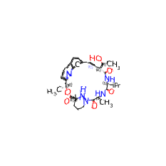 CC(C)[C@@H]1NC(=O)[C@@H]([C@@H](C)O)/C=C/c2ccc3ccc(nc3c2)[C@@H](C)OC(=O)[C@@H]2CCCN(N2)C(=O)[C@H](C)NC1=O